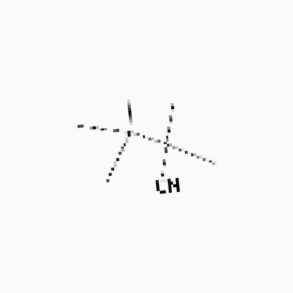 CC(C)(C)C(C)(C)C#N